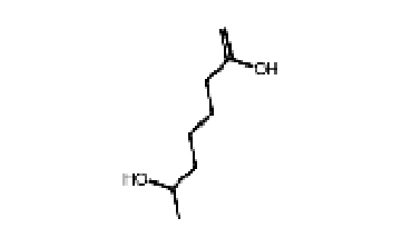 C=C(O)CCCCC(C)O